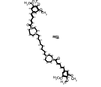 COc1cc(C=CC=CC(=O)N2CCCN(CCCCCCCCN3CCCN(C(=O)C=CC=Cc4cc(OC)c(OC)c(OC)c4)CC3)CC2)cc(OC)c1OC.Cl.Cl